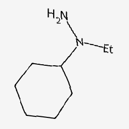 CCN(N)C1CCCCC1